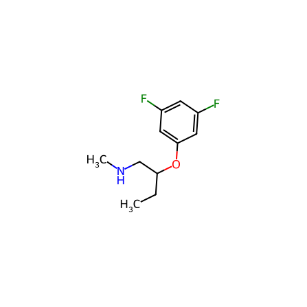 CCC(CNC)Oc1cc(F)cc(F)c1